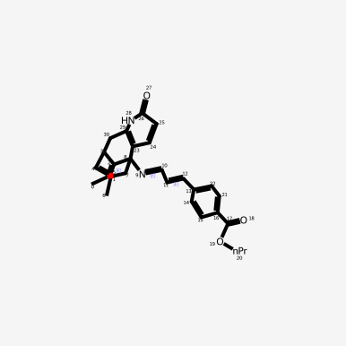 C/C=C1\C2C=C(C)CC1(/N=C/C=C/c1ccc(C(=O)OCCC)cc1)c1ccc(=O)[nH]c1C2